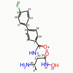 C[C@@H](N)[C@H](NC(=O)c1ccc(-c2ccc(F)cc2)cc1)C(=O)NO